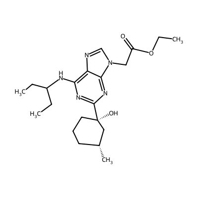 CCOC(=O)Cn1cnc2c(NC(CC)CC)nc([C@]3(O)CCC[C@@H](C)C3)nc21